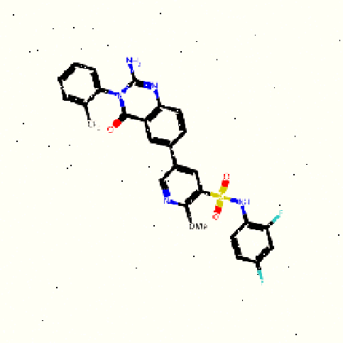 COc1ncc(-c2ccc3nc(N)n(-c4ccccc4C(F)(F)F)c(=O)c3c2)cc1S(=O)(=O)Nc1ccc(F)cc1F